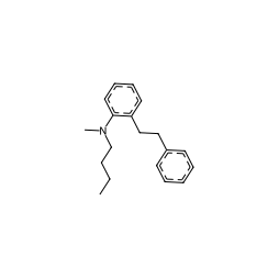 CCCCN(C)c1ccccc1CCc1ccccc1